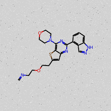 C=NCCOCCc1cc2nc(-c3cccc4[nH]ncc34)nc(N3CCOCC3)c2s1